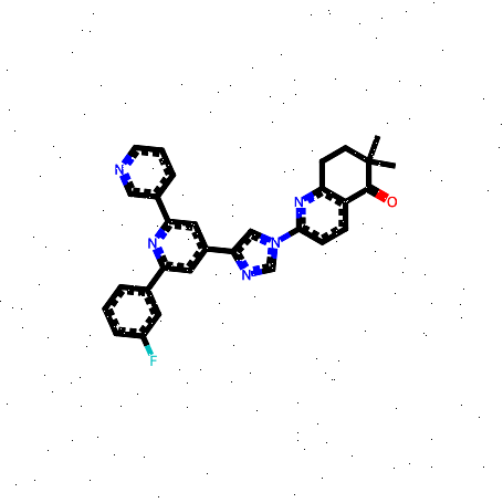 CC1(C)CCc2nc(-n3cnc(-c4cc(-c5cccnc5)nc(-c5cccc(F)c5)c4)c3)ccc2C1=O